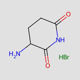 Br.NC1CCC(=O)NC1=O